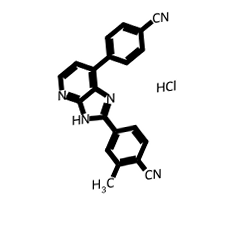 Cc1cc(-c2nc3c(-c4ccc(C#N)cc4)ccnc3[nH]2)ccc1C#N.Cl